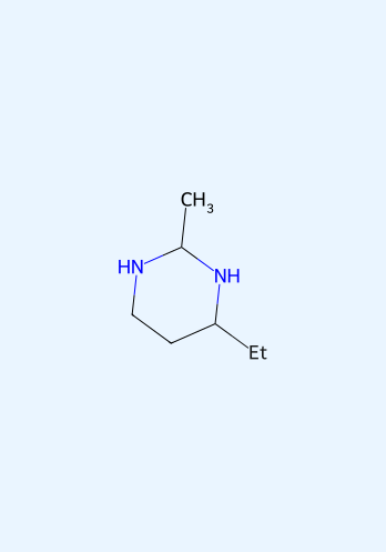 CCC1CCNC(C)N1